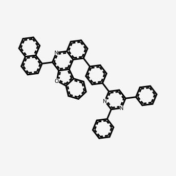 c1ccc(-c2cc(-c3ccc(-c4cccc5nc(-c6cccc7ccccc67)c6oc7ccccc7c6c45)cc3)nc(-c3ccccc3)n2)cc1